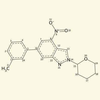 Cc1cccc(-c2cc([N+](=O)[O-])c3cn(C4CCCCO4)nc3c2)c1